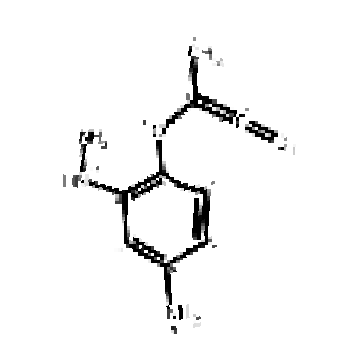 CC(=C=O)Oc1ccc(N)cc1NN